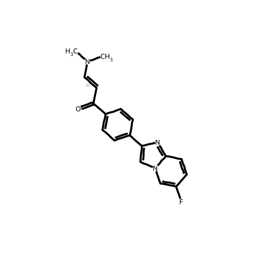 CN(C)/C=C/C(=O)c1ccc(-c2cn3cc(F)ccc3n2)cc1